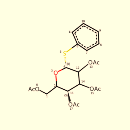 CC(=O)OCC1O[C@H](Sc2ccccc2)C(OC(C)=O)C(OC(C)=O)[C@H]1OC(C)=O